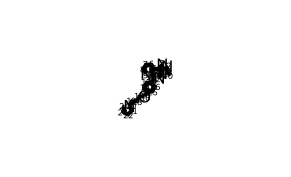 Cc1nnc2c3cccnc3c(-c3ccc(OCCCN4CCCC4)cc3)nn12